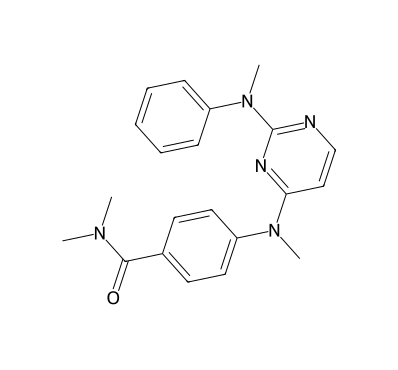 CN(C)C(=O)c1ccc(N(C)c2ccnc(N(C)c3ccccc3)n2)cc1